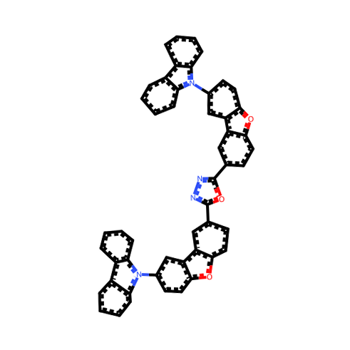 c1ccc2c(c1)c1ccccc1n2-c1ccc2oc3ccc(-c4nnc(-c5ccc6oc7ccc(-n8c9ccccc9c9ccccc98)cc7c6c5)o4)cc3c2c1